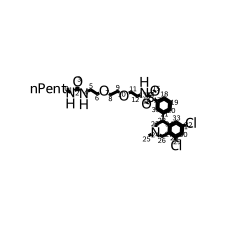 CCCCCNC(=O)NCCOCCOCCNS(=O)(=O)c1cccc([C@@H]2CN(C)Cc3c(Cl)cc(Cl)cc32)c1